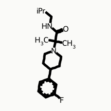 CC(C)CNC(=O)C(C)(C)N1CCC(c2cccc(F)c2)CC1